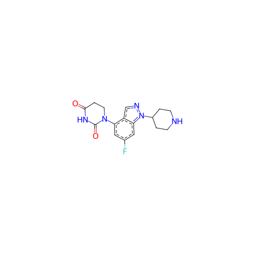 O=C1CCN(c2cc(F)cc3c2cnn3C2CCNCC2)C(=O)N1